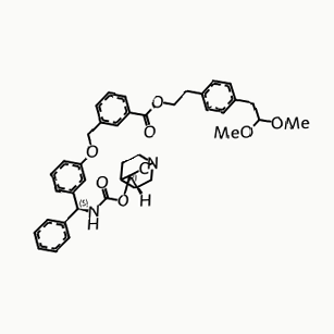 COC(Cc1ccc(CCOC(=O)c2cccc(COc3cccc([C@@H](NC(=O)O[C@H]4CN5CCC4CC5)c4ccccc4)c3)c2)cc1)OC